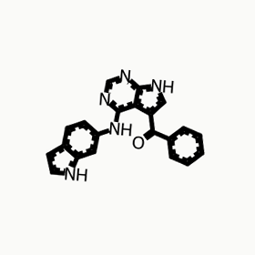 O=C(c1ccccc1)c1c[nH]c2ncnc(Nc3ccc4cc[nH]c4c3)c12